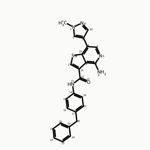 Cn1cc(-c2cnc(N)c3c(C(=O)Nc4ccc(Cc5ccccc5)cc4)csc23)cn1